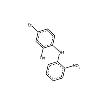 CCc1ccc(Nc2ccccc2[N+](=O)[O-])c(C#N)c1